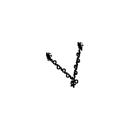 CC(C)(C)OC(=O)N(CCOCCOCCOCCOCCN=[N+]=[N-])CCOCCOCCOCCOCCN=[N+]=[N-]